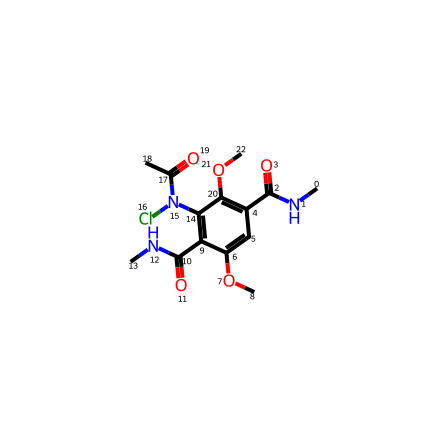 CNC(=O)c1cc(OC)c(C(=O)NC)c(N(Cl)C(C)=O)c1OC